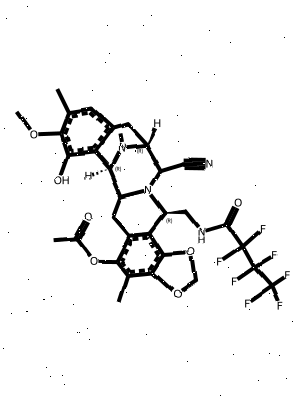 COc1c(C)cc2c(c1O)[C@@H]1C3Cc4c(OC(C)=O)c(C)c5c(c4[C@H](CNC(=O)C(F)(F)C(F)(F)C(F)(F)F)N3C(C#N)[C@@H](C2)N1C)OCO5